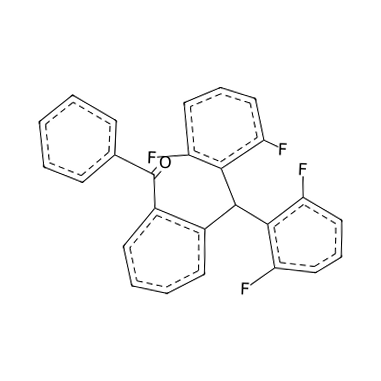 O=C(c1ccccc1)c1ccccc1C(c1c(F)cccc1F)c1c(F)cccc1F